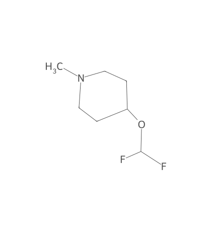 CN1CCC(OC(F)F)CC1